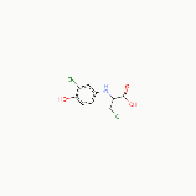 O=C(O)C(CCl)Nc1ccc(O)c(Cl)c1